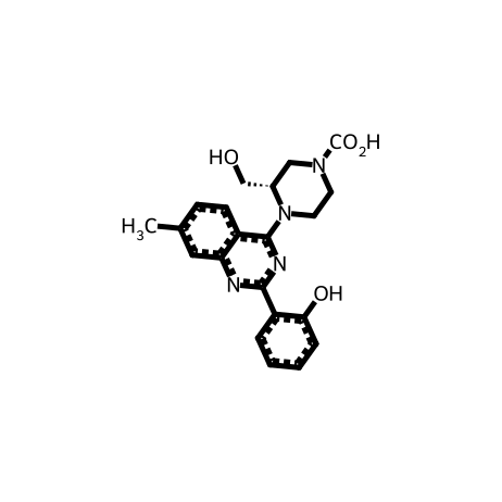 Cc1ccc2c(N3CCN(C(=O)O)C[C@H]3CO)nc(-c3ccccc3O)nc2c1